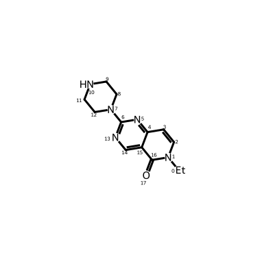 CCn1ccc2nc(N3CCNCC3)ncc2c1=O